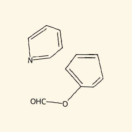 O=COc1ccccc1.c1ccncc1